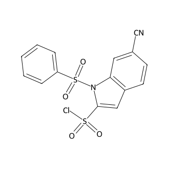 N#Cc1ccc2cc(S(=O)(=O)Cl)n(S(=O)(=O)c3ccccc3)c2c1